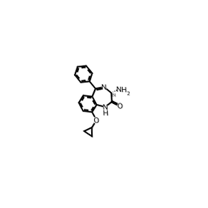 N[C@H]1N=C(c2ccccc2)c2cccc(OC3CC3)c2NC1=O